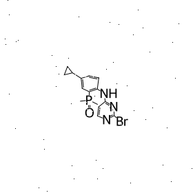 CP(C)(=O)c1cc(C2CC2)ccc1Nc1ccnc(Br)n1